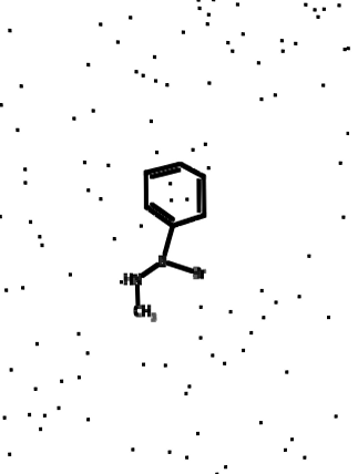 CNB(Br)c1ccccc1